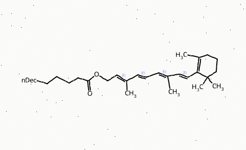 CCCCCCCCCCCCCCC(=O)OC/C=C(C)/C=C/C=C(C)/C=C/C1=C(C)CCCC1(C)C